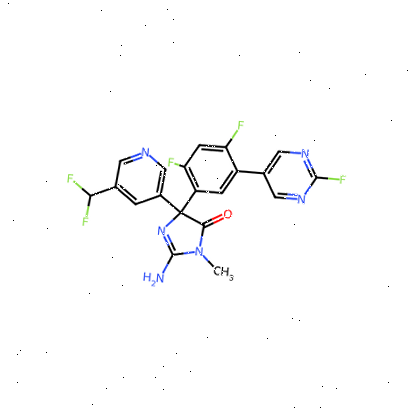 CN1C(=O)C(c2cncc(C(F)F)c2)(c2cc(-c3cnc(F)nc3)c(F)cc2F)N=C1N